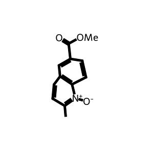 COC(=O)c1ccc2c(ccc(C)[n+]2[O-])c1